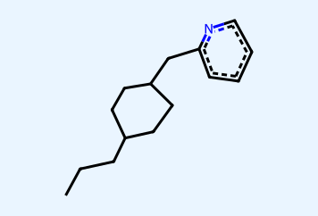 CCCC1CCC(Cc2ccccn2)CC1